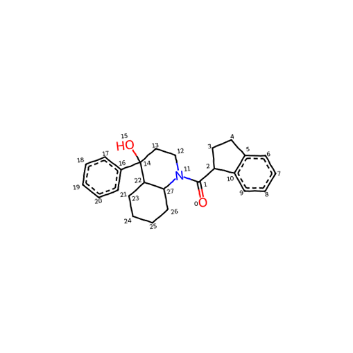 O=C(C1CCc2ccccc21)N1CCC(O)(c2ccccc2)C2CCCCC21